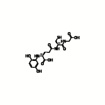 O=C(O)CNC(=O)[C@H](CS)NC(=O)CC[C@H](Nc1cc(O)ccc1O)C(=O)O